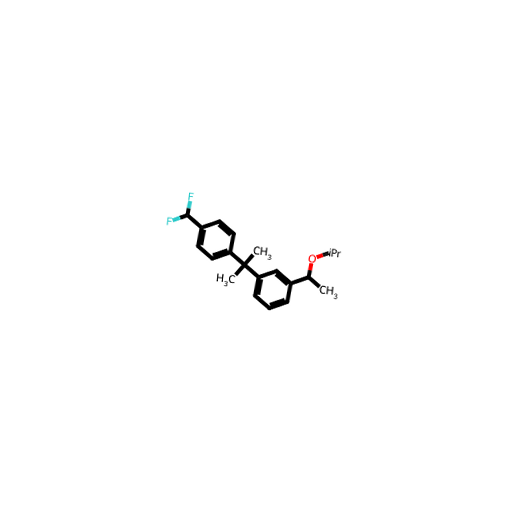 CC(C)OC(C)c1cccc(C(C)(C)c2ccc(C(F)F)cc2)c1